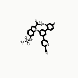 CS(=O)(=O)Nc1ccc2cc(C(N)=O)n(-c3cc(-c4ccc(C#N)nc4)cc(-c4ccc(F)cc4F)c3)c2c1